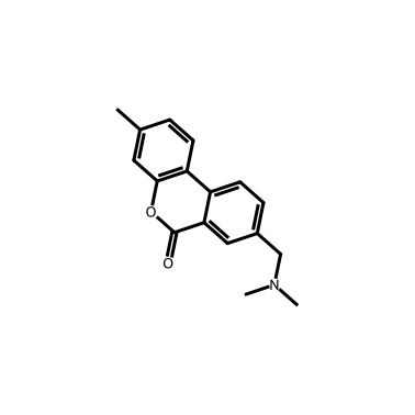 Cc1ccc2c(c1)oc(=O)c1cc(CN(C)C)ccc12